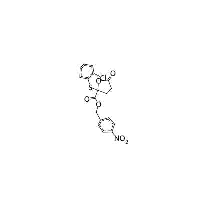 O=C1CCC(Sc2ccccc2Cl)(C(=O)OCc2ccc([N+](=O)[O-])cc2)O1